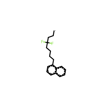 [CH2]CCC(F)(F)CCCCc1cccc2ccccc12